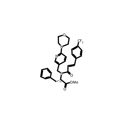 COC(=O)[C@H](Cc1ccccc1)N(Cc1ccc(N2CCOCC2)nc1)C(=O)C=Cc1ccc(C(F)(F)F)cc1